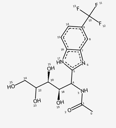 CC(=O)NC(c1nc2cc(C(F)(F)F)ccc2[nH]1)[C@@H](O)[C@H](O)C(O)CO